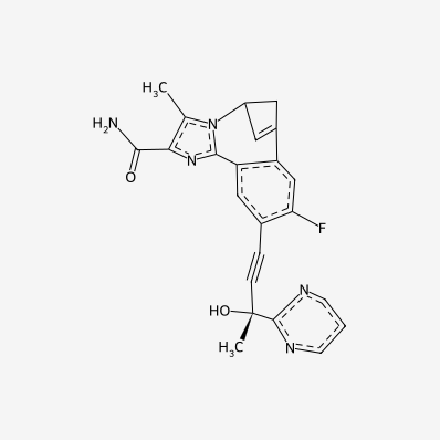 Cc1c(C(N)=O)nc2n1C1C=C(C1)c1cc(F)c(C#C[C@@](C)(O)c3ncccn3)cc1-2